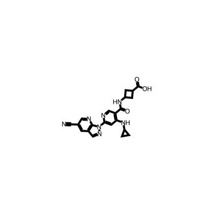 N#Cc1cnc2c(cnn2-c2cc(NC3CC3)c(C(=O)NC3CC(C(=O)O)C3)cn2)c1